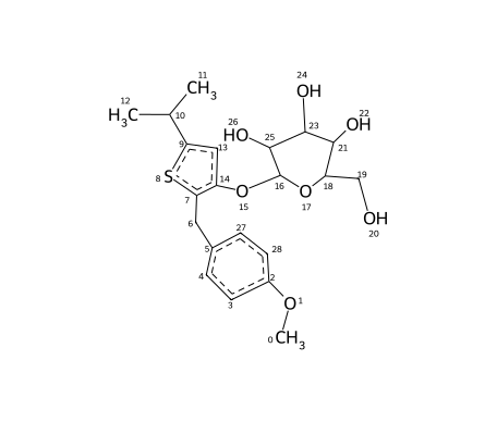 COc1ccc(Cc2sc(C(C)C)cc2OC2OC(CO)C(O)C(O)C2O)cc1